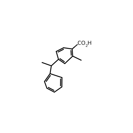 Cc1cc(C(C)c2ccccc2)ccc1C(=O)O